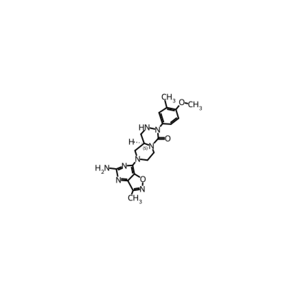 COc1ccc(N2NC[C@@H]3CN(c4nc(N)nc5c(C)noc45)CCN3C2=O)cc1C